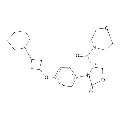 O=C([C@@H]1COC(=O)N1c1ccc(OC2CC(N3CCCCC3)C2)cc1)N1CCOCC1